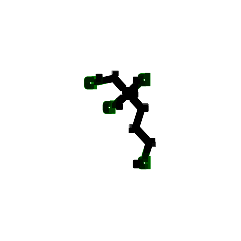 ClCCC[Si](Cl)(Cl)CCl